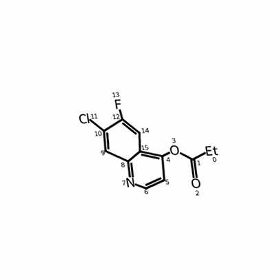 CCC(=O)Oc1ccnc2cc(Cl)c(F)cc12